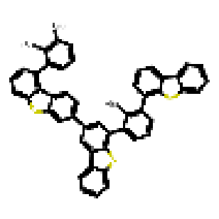 CC(C)(C)c1cccc(-c2cccc3sc4cc(-c5cc(-c6cccc(-c7cccc8c7sc7ccccc78)c6C(C)(C)C)c6sc7ccccc7c6c5)ccc4c23)c1C(C)(C)C